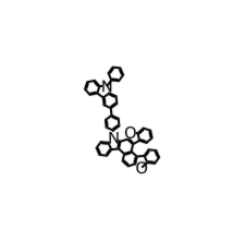 c1ccc(-n2c3ccccc3c3cc(-c4ccc(-n5c6ccccc6c6c7ccc8oc9ccccc9c8c7c7c8ccccc8oc7c65)cc4)ccc32)cc1